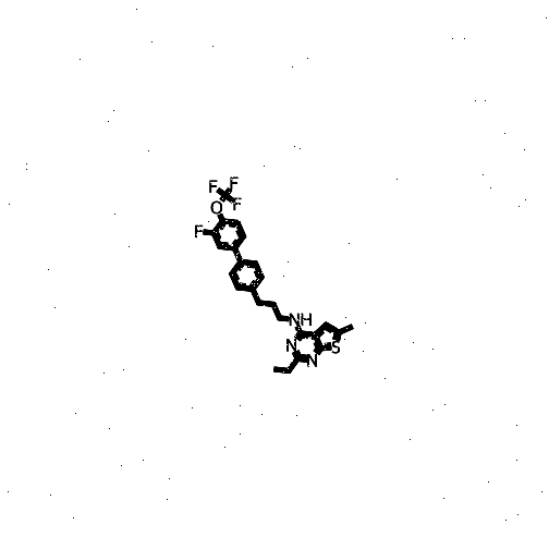 CCc1nc(NCCCc2ccc(-c3ccc(OC(F)(F)F)c(F)c3)cc2)c2cc(C)sc2n1